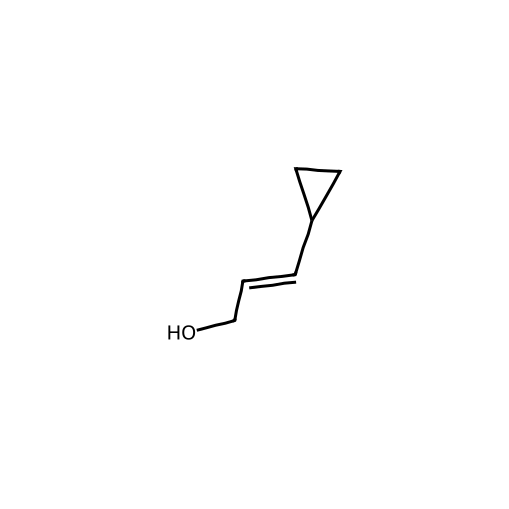 OCC=CC1CC1